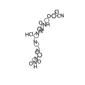 Cl.N#Cc1ccc(O[C@H]2CC[C@H](NC(=O)c3ccc(N4CCC(CN5CCC(Cn6ccc7c(N8CCC(=O)NC8=O)cccc76)CC5)CC4)nn3)CC2)cc1Cl